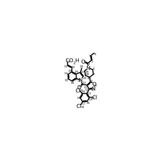 C/C=C/C(=O)N1CCC(c2onc(-c3c(Cl)cc(Cl)cc3Cl)c2C(=O)n2cc(C)c3c(/C=C/C(=O)O)cccc32)CC1